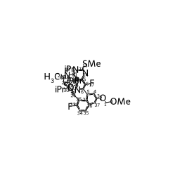 COCOc1cc(-c2nc3c4c(nc(SC)nc4c2F)N(C(C)C)[C@@H](C)CO3)c2c(C#C[Si](C(C)C)(C(C)C)C(C)C)c(F)ccc2c1